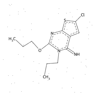 CCCOc1nc2sc(Cl)cc2c(=N)n1CCC